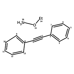 C(#Cc1ccccc1)c1ccccc1.CCO[SiH3]